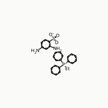 CC[P+](c1ccccc1)(c1ccccc1)c1ccccc1.Nc1ccc(S(=O)(=O)[O-])c(N)c1